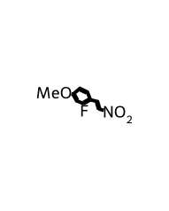 COc1ccc(C=C[N+](=O)[O-])c(F)c1